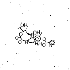 CO[C@H]1C[C@H]2C=C[C@H]3[C@H]4O[C@]2(/C(C)=C/[C@@H](C)[C@@H]([C@@H](C)O)OC1=O)[C@@H]3[C@H](O)[C@@H](C)[C@H]4OC(=O)c1cscn1